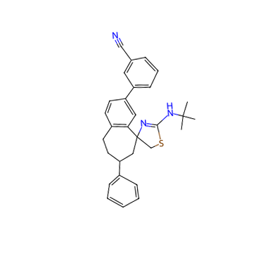 CC(C)(C)NC1=NC2(CS1)CC(c1ccccc1)CCc1ccc(-c3cccc(C#N)c3)cc12